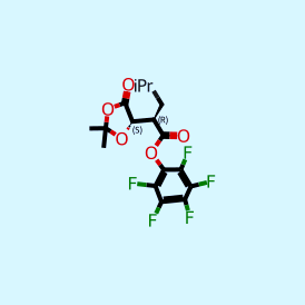 CC(C)C[C@@H](C(=O)Oc1c(F)c(F)c(F)c(F)c1F)[C@@H]1OC(C)(C)OC1=O